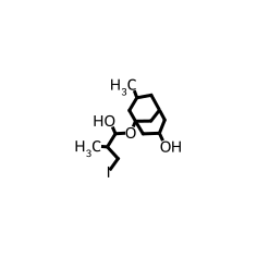 CC1CC2CC(O)CC(OC(O)C(C)CI)(C1)C2